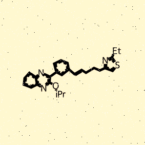 CCc1nc(CCC/C=C/c2cccc(-c3nc4ccccc4nc3OC(C)C)c2)cs1